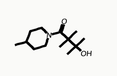 CC1CCN(C(=O)C(C)(C)C(C)(C)O)CC1